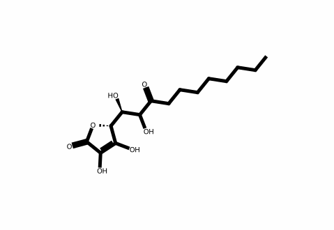 CCCCCCCCC(=O)C(O)[C@H](O)[C@H]1OC(=O)C(O)=C1O